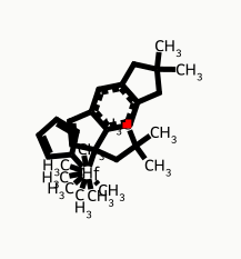 CC(C)(C)C[C]1([Hf]([CH3])([CH3])([CH3])([CH3])([CH3])([CH3])([CH3])[CH]2C=CC=C2)C=Cc2cc3c(cc21)CC(C)(C)C3